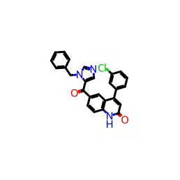 O=C(c1ccc2[nH]c(=O)cc(-c3cccc(Cl)c3)c2c1)c1cncn1Cc1ccccc1